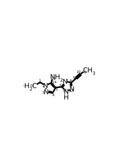 [CH2]Cn1ncc(-c2nc(C#CC)n[nH]2)c1N